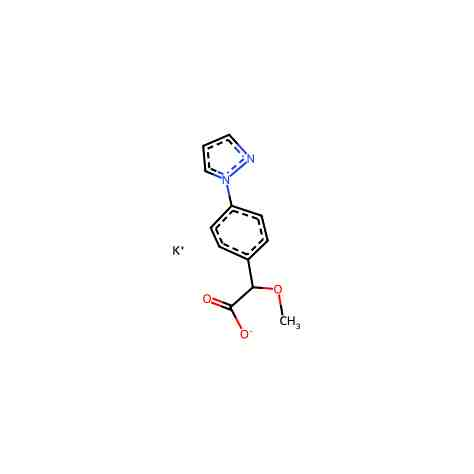 COC(C(=O)[O-])c1ccc(-n2cccn2)cc1.[K+]